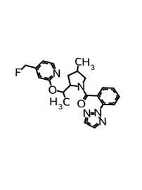 CC1CC(C(C)Oc2cc(CF)ccn2)N(C(=O)c2ccccc2-n2nccn2)C1